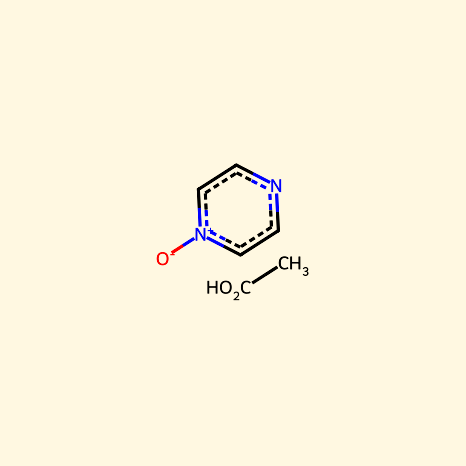 CC(=O)O.[O-][n+]1ccncc1